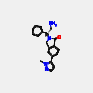 Cn1nccc1-c1ccc2c(c1)CN([C@@H](CN)c1ccccc1)C2=O